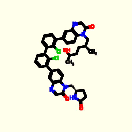 CC(O)CC[C@H](C)Cn1c(=O)cnc2cc(-c3cccc(-c4cccc(-c5ccc6c(c5)ncc(=O)n6C[C@@H]5CCC(=O)N5)c4Cl)c3Cl)ccc21